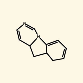 C1=CCC2CC3C=CN=CN3C2=C1